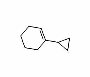 C1=C(C2CC2)CCCC1